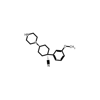 COc1cccc([C@]2(C#N)CC[C@H](N3CCNCC3)CC2)c1